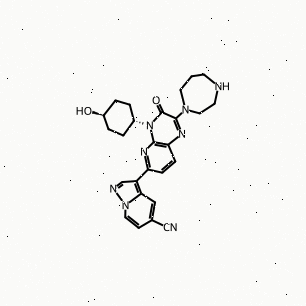 N#Cc1ccn2ncc(-c3ccc4nc(N5CCCNCC5)c(=O)n([C@H]5CC[C@H](O)CC5)c4n3)c2c1